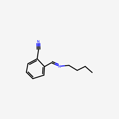 CCCCN=Cc1ccccc1C#N